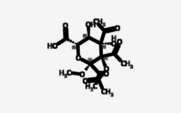 CO[C@]1(C(C)=O)O[C@H](C(=O)O)[C@@H](O)[C@@](O)(C(C)=O)[C@]1(OC(C)=O)C(C)=O